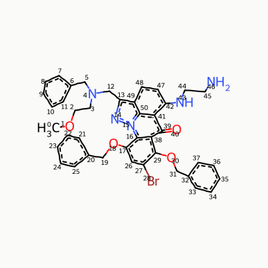 COCCN(Cc1ccccc1)Cc1nn2c3c(OCc4ccccc4)cc(Br)c(OCc4ccccc4)c3c(=O)c3c(NCCN)ccc1c32